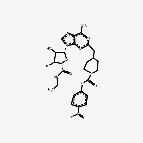 CCNC(=O)[C@H]1O[C@@H](n2cnc3c(N)nc(CC4CCN(C(=O)Oc5ccc([N+](=O)[O-])cc5)CC4)nc32)C(O)C1O